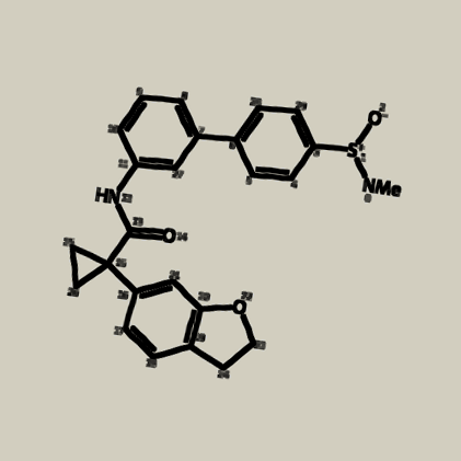 CN[S+]([O-])c1ccc(-c2cccc(NC(=O)C3(c4ccc5c(c4)OCC5)CC3)c2)cc1